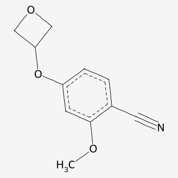 COc1cc(OC2COC2)ccc1C#N